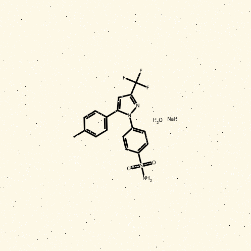 Cc1ccc(-c2cc(C(F)(F)F)nn2-c2ccc(S(N)(=O)=O)cc2)cc1.O.[NaH]